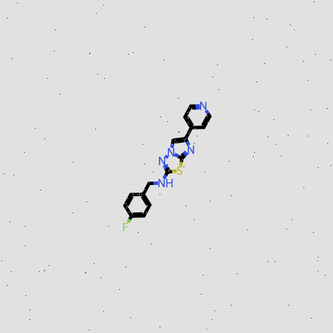 Fc1ccc(CNc2nn3cc(-c4ccncc4)nc3s2)cc1